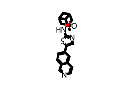 CN1CC2CC(C1)C2C(=O)Nc1ncc(-c2ccc3cnccc3c2)s1